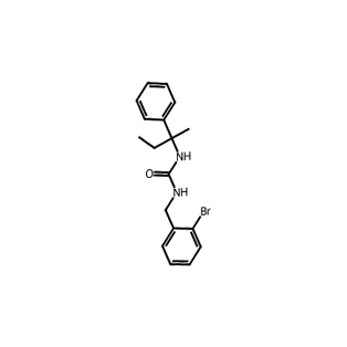 CCC(C)(NC(=O)NCc1ccccc1Br)c1ccccc1